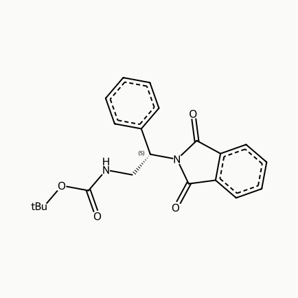 CC(C)(C)OC(=O)NC[C@H](c1ccccc1)N1C(=O)c2ccccc2C1=O